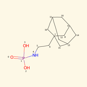 O=P(O)(O)NCCC12CC3CC(CC(C3)C1)C2